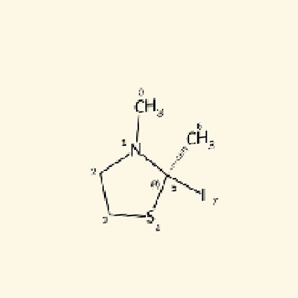 CN1CCS[C@]1(C)I